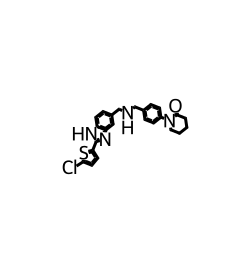 O=C1CCCCN1c1ccc(CNCc2ccc3[nH]c(-c4ccc(Cl)s4)nc3c2)cc1